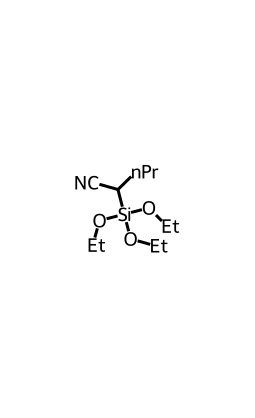 CCCC(C#N)[Si](OCC)(OCC)OCC